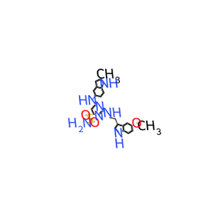 COc1ccc2[nH]cc(CCNc3nc(Nc4ccc5[nH]c(C)cc5c4)cc(S(N)(=O)=O)n3)c2c1